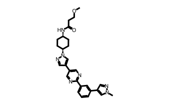 COCCC(=O)N[C@H]1CC[C@@H](n2cc(-c3cnc(-c4cccc(-c5cnn(C)c5)c4)nc3)cn2)CC1